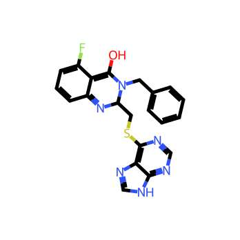 OC1=c2c(F)cccc2=NC(CSc2ncnc3[nH]cnc23)N1Cc1ccccc1